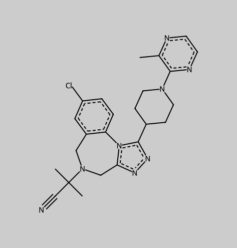 Cc1nccnc1N1CCC(c2nnc3n2-c2ccc(Cl)cc2CN(C(C)(C)C#N)C3)CC1